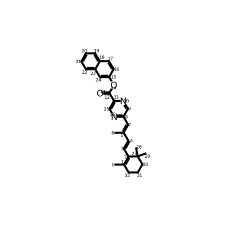 CC1=C(C=C/C(C)=C/c2cnc(C(=O)Oc3ccc4ccccc4c3)cn2)C(C)(C)CCC1